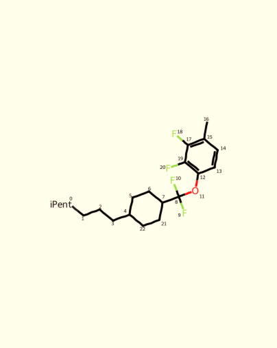 CCCC(C)CCCC1CCC(C(F)(F)Oc2ccc(C)c(F)c2F)CC1